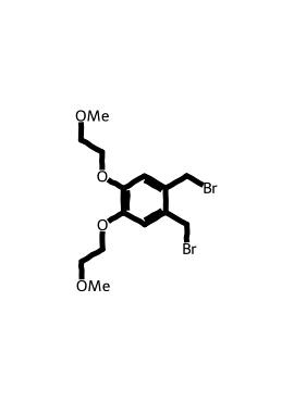 COCCOc1cc(CBr)c(CBr)cc1OCCOC